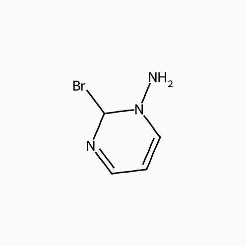 NN1C=CC=NC1Br